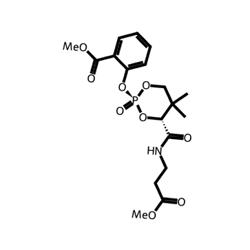 COC(=O)CCNC(=O)[C@@H]1O[P@@](=O)(Oc2ccccc2C(=O)OC)OCC1(C)C